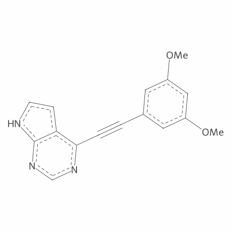 COc1cc(C#Cc2ncnc3[nH]ccc23)cc(OC)c1